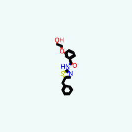 O=C(Nc1ncc(Cc2ccccc2)s1)c1cccc(OCCO)c1